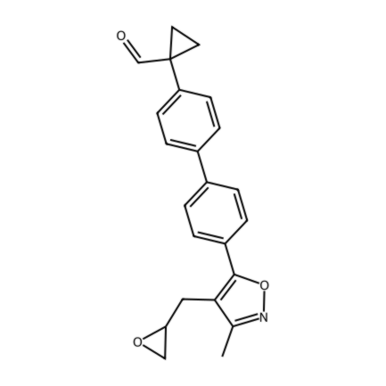 Cc1noc(-c2ccc(-c3ccc(C4(C=O)CC4)cc3)cc2)c1CC1CO1